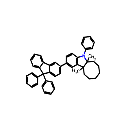 CC12CCCCCCC1(C)N(c1ccccc1)c1ccc(-c3ccc4c(c3)-c3ccccc3C4(c3ccccc3)c3ccccc3)cc12